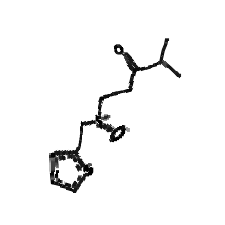 CC(C)C(=O)CC[S+]([O-])Cc1cccs1